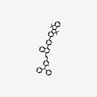 CC1(C)C2=C(c3ccccc31)C(C)(C)c1cc(-c3ccc(-c4ccc(/C=C/c5ccc(N(c6ccccc6)c6ccccc6)nc5)c5ccccc45)cc3)ccc12